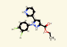 CCOC(=O)c1cc(-c2cccnc2)n(-c2ccc(F)c(F)c2)n1